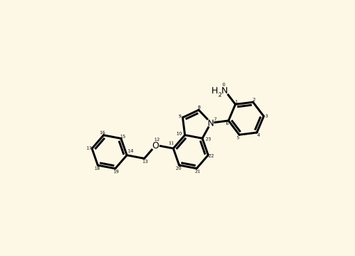 Nc1ccccc1-n1ccc2c(OCc3ccccc3)cccc21